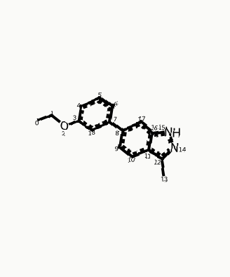 CCOc1cccc(-c2ccc3c(C)n[nH]c3c2)c1